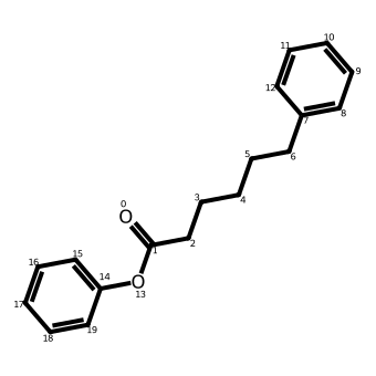 O=C(CCCCCc1ccccc1)Oc1ccccc1